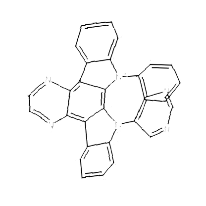 c1ccc(-n2c3ccccc3c3c4nccnc4c4c5ccccc5n(-c5cncnc5)c4c32)cc1